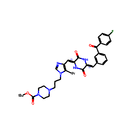 CC(C)c1c(/C=c2\[nH]c(=O)/c(=C/c3cccc(C(=O)c4ccc(F)cc4)c3)[nH]c2=O)ncn1CCCN1CCN(C(=O)OC(C)(C)C)CC1